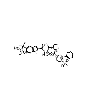 CC(C)(C)[C@H](NC(=O)c1cc2cc(C(F)(F)P(=O)(O)O)ccc2s1)C(=O)N1CCC[C@H]1C(=O)N1CCN(S(C)(=O)=O)[C@H](c2ccccc2)C1